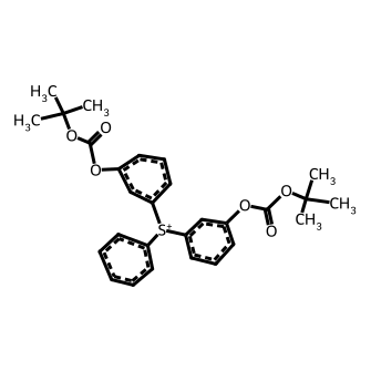 CC(C)(C)OC(=O)Oc1cccc([S+](c2ccccc2)c2cccc(OC(=O)OC(C)(C)C)c2)c1